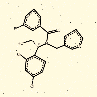 O=C(c1cccc(F)c1)N(Cc1cccnc1)[C@@H](CO)c1ccc(Cl)cc1Cl